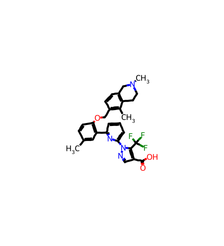 Cc1ccc(OCc2ccc3c(c2C)CCN(C)C3)c(-c2cccc(-n3ncc(C(=O)O)c3C(F)(F)F)n2)c1